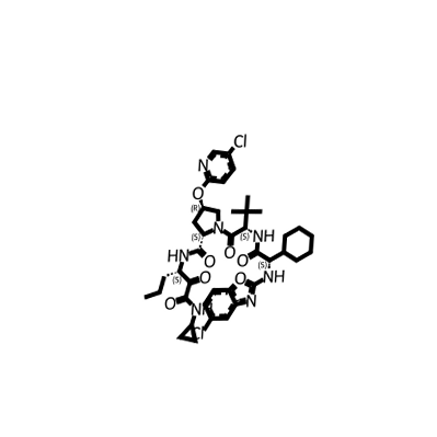 CCC[C@H](NC(=O)[C@@H]1C[C@@H](Oc2ccc(Cl)cn2)CN1C(=O)[C@@H](NC(=O)[C@@H](Nc1nc2cc(Cl)ccc2o1)C1CCCCC1)C(C)(C)C)C(=O)C(=O)NC1CC1